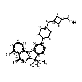 CC1(C)c2ccc(C3CCN(CC4CC(CO)C4)CC3)cc2-n2c1nc(=O)c1c(Cl)cccc12